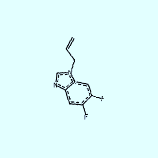 C=CCn1cnc2cc(F)c(F)cc21